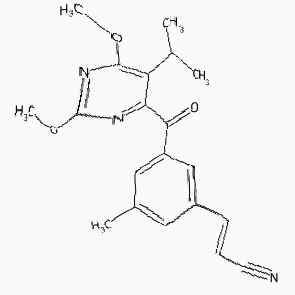 COc1nc(OC)c(C(C)C)c(C(=O)c2cc(C)cc(/C=C/C#N)c2)n1